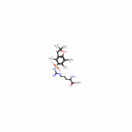 COC(=O)C(N)CCCNC(=N)NS(=O)(=O)c1c(C)c(C)c2c(c1C)CC(C)(C)O2